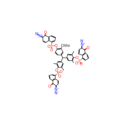 COc1cc(C(c2cc(C)c(OS(=O)(=O)c3cccc4c3C=CC(=[N+]=[N-])C4=O)c(C)c2)c2cc(C)c(OS(=O)(=O)c3cccc4c3C=CC(=[N+]=[N-])C4=O)c(C)c2)ccc1OS(=O)(=O)c1cccc2c1C=CC(=[N+]=[N-])C2=O